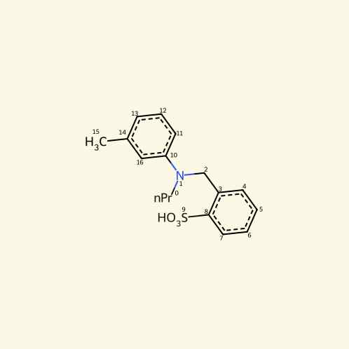 CCCN(Cc1ccccc1S(=O)(=O)O)c1cccc(C)c1